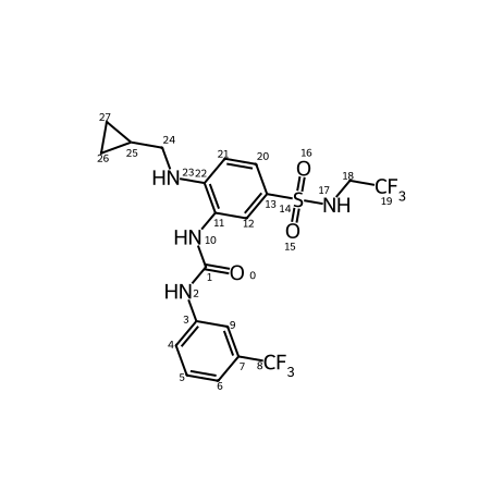 O=C(Nc1cccc(C(F)(F)F)c1)Nc1cc(S(=O)(=O)NCC(F)(F)F)ccc1NCC1CC1